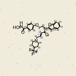 O=C(NO)c1ccc(OCCN(C(=O)/C=C/CN2CCC(C(F)(F)F)CC2)c2cc3ccccc3o2)cc1